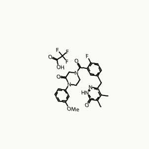 COc1cccc(N2CCN(C(=O)c3cc(Cc4n[nH]c(=O)c(C)c4C)ccc3F)CC2=O)c1.O=C(O)C(F)(F)F